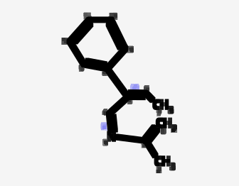 C=C(C)/N=C\C(=C/C)c1ccccc1